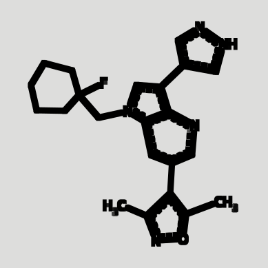 Cc1noc(C)c1-c1cnc2c(-c3cn[nH]c3)cn(CC3(F)CCCCC3)c2c1